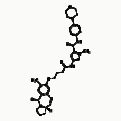 Cc1cc2c(cc1OCCCC(=O)Nc1cc(C(=O)Nc3ccc(N4CCOCC4)cc3)n(C)c1)N=C[C@@H]1CCCN1C2=O